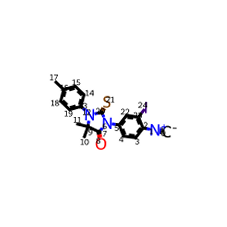 [C-]#[N+]c1ccc(N2C(=O)C(C)(C)N(c3ccc(C)cc3)C2=S)cc1I